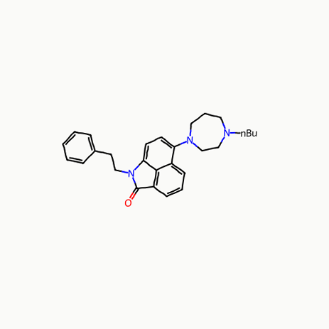 CCCCN1CCCN(c2ccc3c4c(cccc24)C(=O)N3CCc2ccccc2)CC1